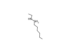 CCCCCC[SiH2]NCC